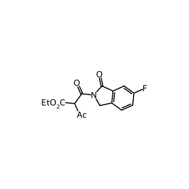 CCOC(=O)C(C(C)=O)C(=O)N1Cc2ccc(F)cc2C1=O